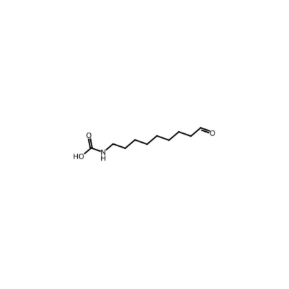 O=CCCCCCCCCNC(=O)O